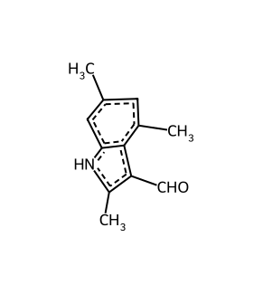 Cc1cc(C)c2c(C=O)c(C)[nH]c2c1